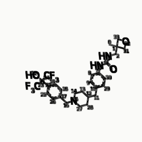 CC1(CNC(=O)Nc2ccc(CC3CCN(Cc4ccc(C(O)(C(F)(F)F)C(F)(F)F)cc4)CC3)cc2)COC1